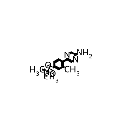 Cc1cc(S(=O)(=O)N(C)C)ccc1-c1cnc(N)cn1